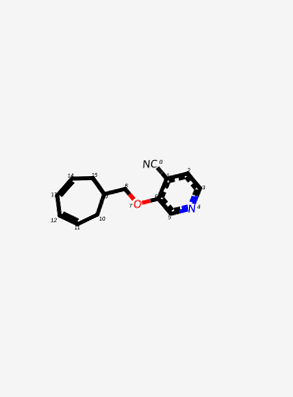 N#Cc1ccncc1OCC1CC=CC=CC1